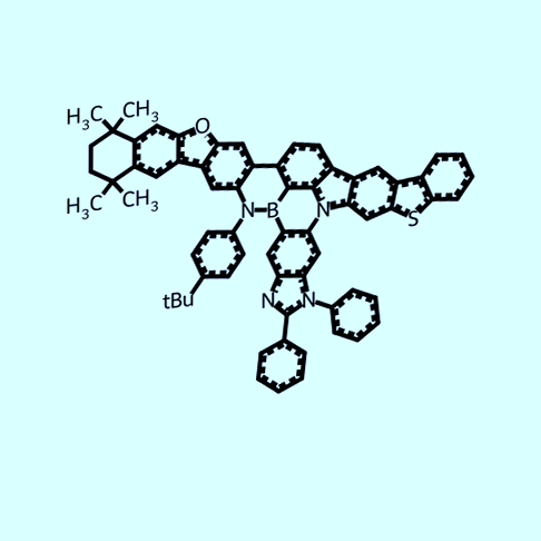 CC(C)(C)c1ccc(N2B3c4cc5nc(-c6ccccc6)n(-c6ccccc6)c5cc4-n4c5cc6sc7ccccc7c6cc5c5ccc(c3c54)-c3cc4oc5cc6c(cc5c4cc32)C(C)(C)CCC6(C)C)cc1